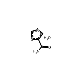 NC(=O)c1cncs1.O